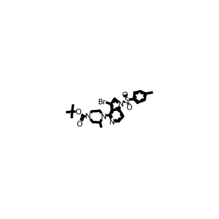 Cc1ccc(S(=O)(=O)n2cc(Br)c3c(N4CCN(C(=O)OC(C)(C)C)CC4C)nccc32)cc1